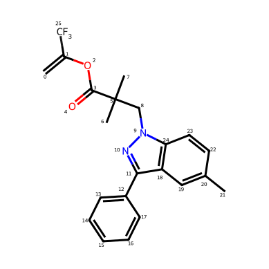 C=C(OC(=O)C(C)(C)Cn1nc(-c2ccccc2)c2cc(C)ccc21)C(F)(F)F